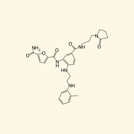 Cc1ccccc1NCCNc1ccc(C(=O)NCCCN2CCCC2=O)cc1NC(=O)c1ccc(C(N)=O)o1